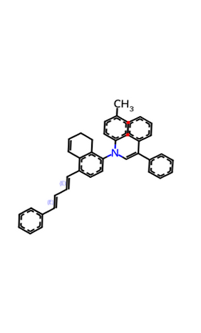 Cc1ccc(N(C=C(c2ccccc2)c2ccccc2)c2ccc(/C=C/C=C/c3ccccc3)c3c2CCC=C3)cc1